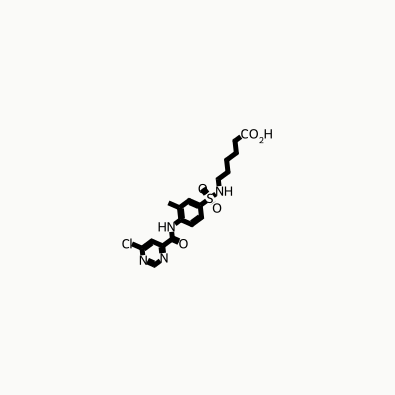 Cc1cc(S(=O)(=O)NCCCCCC(=O)O)ccc1NC(=O)c1cc(Cl)ncn1